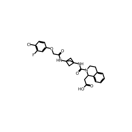 O=C(O)CC1c2ccccc2CCN1C(=O)NC12CC(NC(=O)COc3ccc(Cl)c(F)c3)(C1)C2